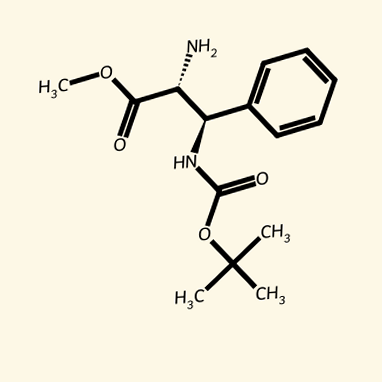 COC(=O)[C@H](N)[C@H](NC(=O)OC(C)(C)C)c1ccccc1